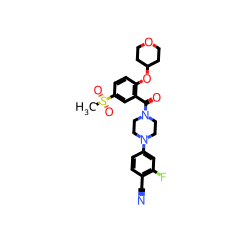 CS(=O)(=O)c1ccc(OC2CCOCC2)c(C(=O)N2CCN(c3ccc(C#N)c(F)c3)CC2)c1